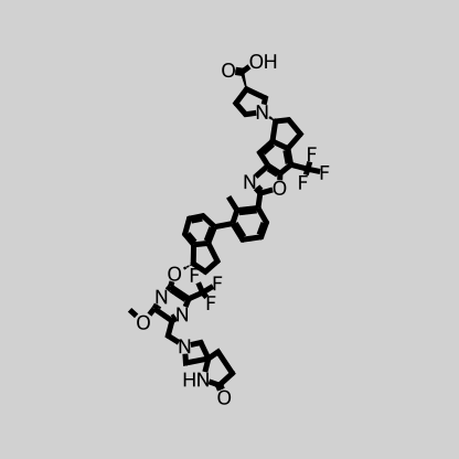 COc1nc(O[C@H]2CCc3c(-c4cccc(-c5nc6cc7c(c(C(F)(F)F)c6o5)CC[C@H]7N5CC[C@@H](C(=O)O)C5)c4C)cccc32)c(C(F)(F)F)nc1CN1CC2(CCC(=O)N2)C1